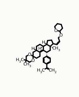 C=C(C)c1ccc([C@H]2C[C@]3(C)C(/C=C\COC4CCCCO4)CC[C@H]3[C@@H]3CC[C@H]4CC5(CCC4=C32)OCC(C)(C)CO5)cc1